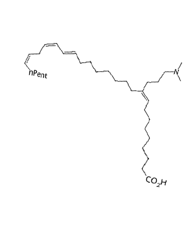 CCCCC/C=C\C/C=C\C=C\CCCCCCC/C(=C\CCCCCCCC(=O)O)CCCN(C)C